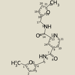 Cc1ccc(CNC(=O)c2ccnc(C(=O)NCc3ccc(C)o3)c2)o1